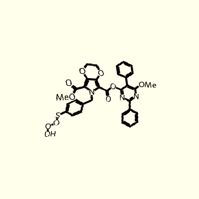 COC(=O)c1c2c(c(C(=O)Oc3nc(-c4ccccc4)nc(OC)c3-c3ccccc3)n1Cc1ccc(SOOO)cc1)OCCO2